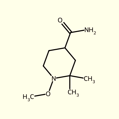 CON1CCC(C(N)=O)CC1(C)C